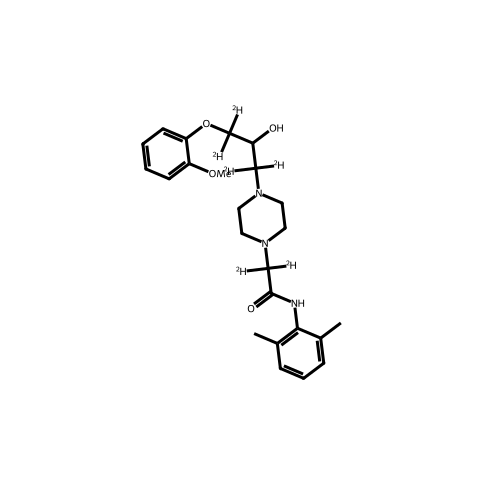 [2H]C([2H])(Oc1ccccc1OC)C(O)C([2H])([2H])N1CCN(C([2H])([2H])C(=O)Nc2c(C)cccc2C)CC1